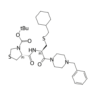 CC(C)(C)OC(=O)N1CSC[C@H]1C(=O)N[C@@H](CSCC1CCCCC1)C(=O)N1CCN(Cc2ccccc2)CC1